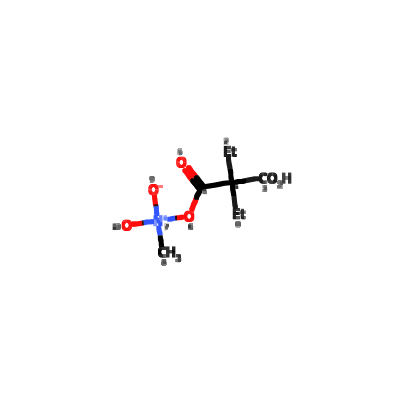 CCC(CC)(C(=O)O)C(=O)O[N+](C)([O-])[O-]